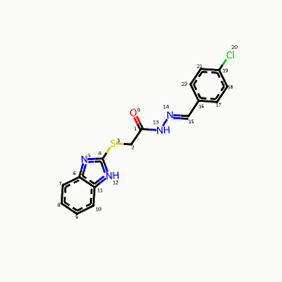 O=C(CSc1nc2ccccc2[nH]1)N/N=C/c1ccc(Cl)cc1